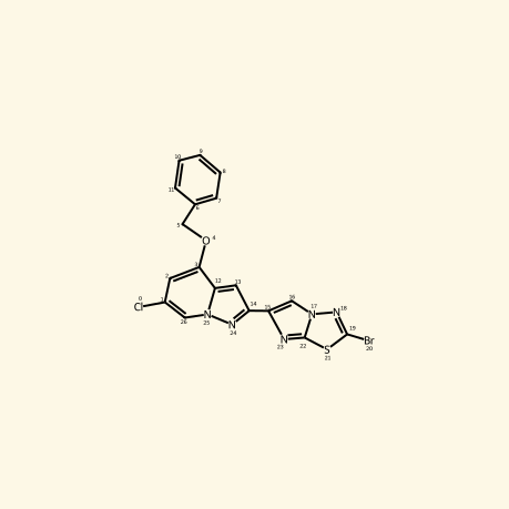 Clc1cc(OCc2ccccc2)c2cc(-c3cn4nc(Br)sc4n3)nn2c1